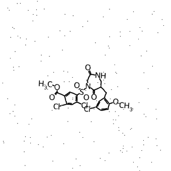 COC(=O)c1cc(S(=O)(=O)N2CC(=O)NCC(Cc3cc(Cl)ccc3OC)C2=O)c(Cl)cc1Cl